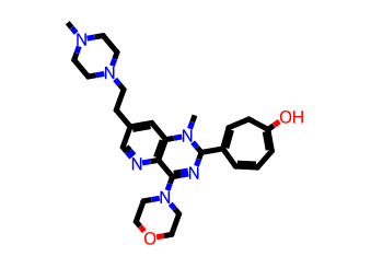 CN1CCN(CCc2cnc3c(c2)N(C)C(C2=CCC(O)=CC=C2)N=C3N2CCOCC2)CC1